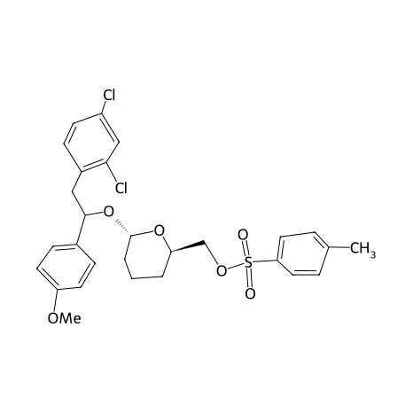 COc1ccc(C(Cc2ccc(Cl)cc2Cl)O[C@H]2CCC[C@H](COS(=O)(=O)c3ccc(C)cc3)O2)cc1